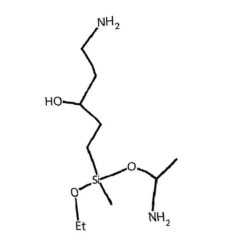 CCO[Si](C)(CCC(O)CCN)OC(C)N